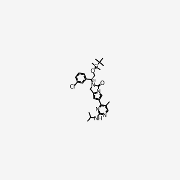 Cc1cnc(NC(C)C)nc1-c1cc2n(c1)C(=O)N([C@H](CO[Si](C)(C)C(C)(C)C)c1cccc(Cl)c1)C2